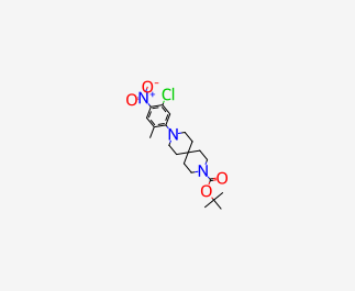 Cc1cc([N+](=O)[O-])c(Cl)cc1N1CCC2(CCN(C(=O)OC(C)(C)C)CC2)CC1